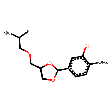 CCCCC(CC)COCC1COC(c2ccc(OC)c(O)c2)O1